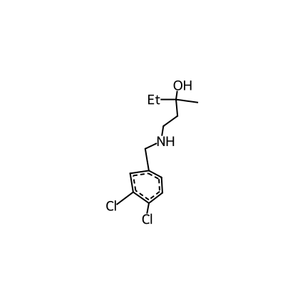 CCC(C)(O)CCNCc1ccc(Cl)c(Cl)c1